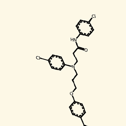 O=C(CCN(CCCOc1ccc(C(=O)O)cc1)c1ccc(Cl)cc1)Nc1ccc(Cl)cc1